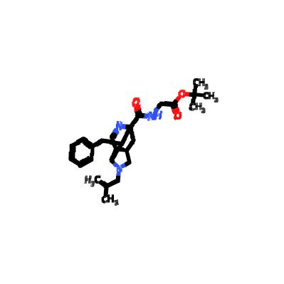 CC(C)CN1CC2CC3(C(=O)NCC(=O)OC(C)(C)C)N=CC2C1C3Cc1ccccc1